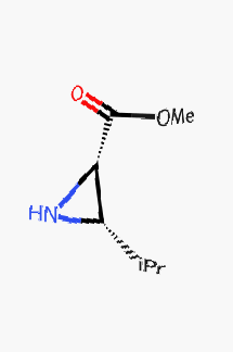 COC(=O)[C@H]1N[C@H]1C(C)C